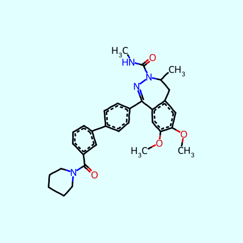 CNC(=O)N1N=C(c2ccc(-c3cccc(C(=O)N4CCCCC4)c3)cc2)c2cc(OC)c(OC)cc2CC1C